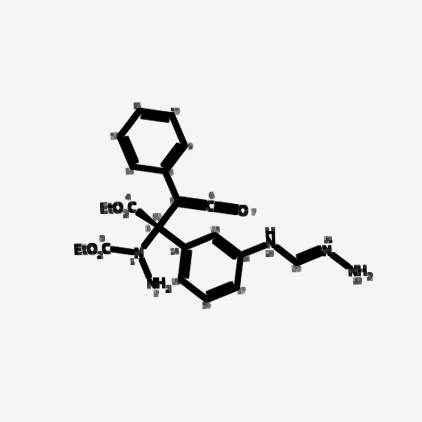 CCOC(=O)N(N)[C@](C(=O)OCC)(C(=C=O)c1ccccc1)c1cccc(NC=NN)c1